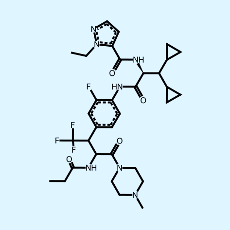 CCC(=O)NC(C(=O)N1CCN(C)CC1)C(c1ccc(NC(=O)[C@@H](NC(=O)c2ccnn2CC)C(C2CC2)C2CC2)c(F)c1)C(F)(F)F